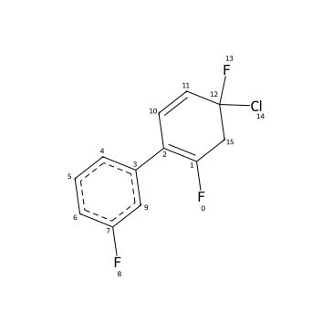 FC1=C(c2cccc(F)c2)C=CC(F)(Cl)C1